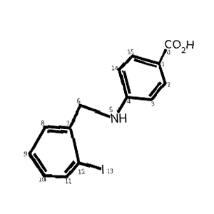 O=C(O)c1ccc(NCc2ccccc2I)cc1